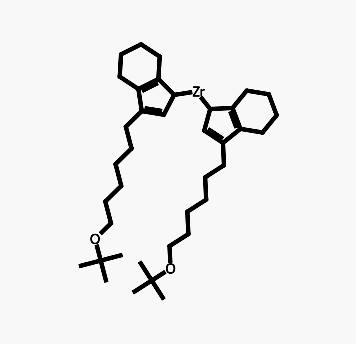 CC(C)(C)OCCCCCCC1=C[CH]([Zr][CH]2C=C(CCCCCCOC(C)(C)C)C3=C2CCCC3)C2=C1CCCC2